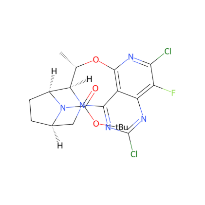 C[C@@H]1Oc2nc(Cl)c(F)c3nc(Cl)nc(c23)N2C[C@H]3CC[C@@H]([C@@H]12)N3C(=O)OC(C)(C)C